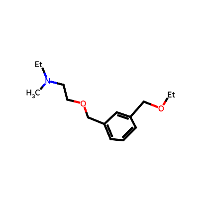 CCOCc1cccc(COCCN(C)CC)c1